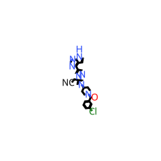 N#CCC1(n2cc(-c3ncnc4[nH]ccc34)cn2)CN(C2CCN(C(=O)c3cccc(Cl)c3)CC2)C1